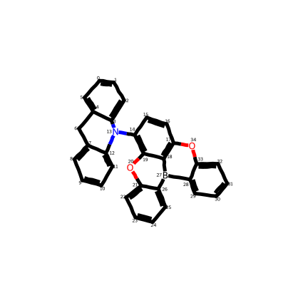 c1ccc2c(c1)Cc1ccccc1N2c1ccc2c3c1Oc1ccccc1B3c1ccccc1O2